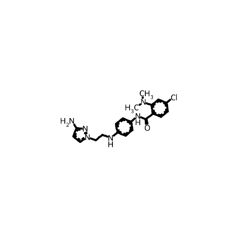 CN(C)c1cc(Cl)ccc1C(=O)Nc1ccc(NCCn2ccc(N)n2)cc1